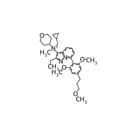 CCc1nn2c(-c3c(OC)cc(CCCOC)cc3OC)cccc2c1[N+](C)(CC1CC1)C1CCOCC1